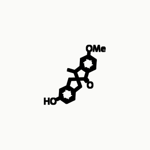 COc1ccc2c(c1)C(C)C1(Cc3ccc(O)cc3C1)C2=O